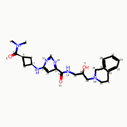 CN(C)C(=O)[C@H]1C[C@@H](Nc2cc(C(=O)NCC(O)CN3CCc4ccccc4C3)ncn2)C1